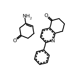 NC1=CCCC(=O)C1.O=C1CCCc2nc(-c3ccccc3)ccc21